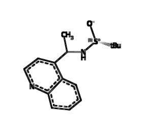 CC(N[S@+]([O-])C(C)(C)C)c1ccnc2ccccc12